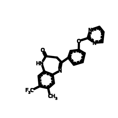 Cc1cc2c(cc1C(F)(F)F)NC(=O)CC(c1cccc(Oc3ncccn3)c1)=N2